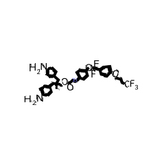 [CH2]C(COC(=O)/C=C/c1ccc(OC(F)(F)c2ccc(OCCCC(F)(F)F)cc2)cc1)(Cc1ccc(N)cc1)Cc1ccc(N)cc1